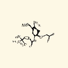 CCCC(C)(C)OC(=O)Nc1cc(NC)c(N)cc1OCC(F)F